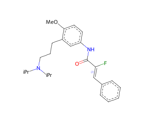 COc1ccc(NC(=O)/C(F)=C/c2ccccc2)cc1CCCN(C(C)C)C(C)C